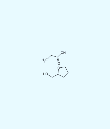 CCC(=O)O.OCC1CCCO1